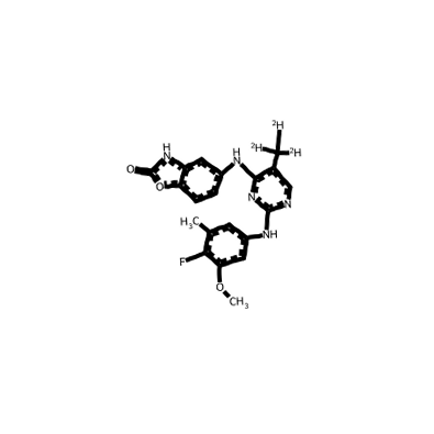 [2H]C([2H])([2H])c1cnc(Nc2cc(C)c(F)c(OC)c2)nc1Nc1ccc2oc(=O)[nH]c2c1